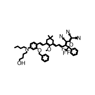 CCCCN(CCCCO)c1ccc(/C=C/C2=C(OC)C(=C/C=C/C3=C(C#N)C(=C(C#N)C#N)OC3(c3ccccc3)C(F)(F)F)/CC(C)(C)C2)c(OCc2ccccc2)c1